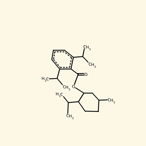 CC1CCC(C(C)C)C(OC(=O)c2c(C(C)C)cccc2C(C)C)C1